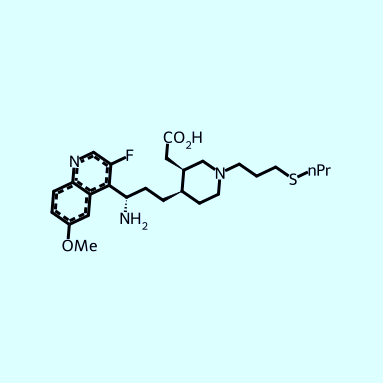 CCCSCCCN1CC[C@@H](CC[C@H](N)c2c(F)cnc3ccc(OC)cc23)[C@@H](CC(=O)O)C1